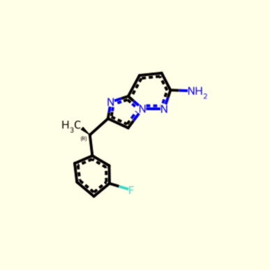 C[C@H](c1cccc(F)c1)c1cn2nc(N)ccc2n1